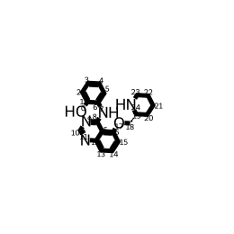 Oc1ccccc1Nc1ncnc2cccc(OC[C@H]3CCCCN3)c12